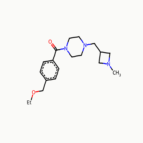 CCOCc1ccc(C(=O)N2CCN(CC3CN(C)C3)CC2)cc1